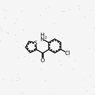 Nc1ccc(Cl)cc1C(=O)c1cccs1